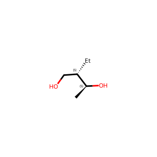 CC[C@@H](CO)[C@H](C)O